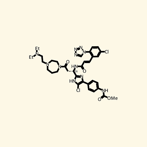 CCN(CC)CCN1CCCN(C(=O)C[C@H](NC(=O)C=Cc2cc(Cl)ccc2-n2cnnn2)c2nc(-c3ccc(NC(=O)OC)cc3)c(Cl)[nH]2)CC1